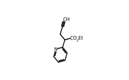 C#CCC(C(=O)OCC)c1ccccn1